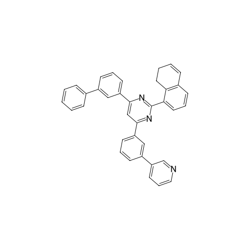 C1=Cc2cccc(-c3nc(-c4cccc(-c5ccccc5)c4)cc(-c4cccc(-c5cccnc5)c4)n3)c2CC1